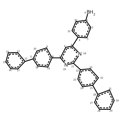 Bc1ccc(-c2cc(-c3ccc(-c4ccccc4)cc3)nc(-c3ccc(-c4ccccc4)cc3)n2)cc1